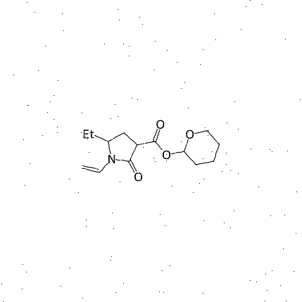 C=CN1C(=O)C(C(=O)OC2CCCCO2)CC1CC